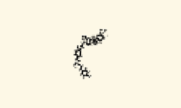 Cc1ccc(C=CC(=O)C=Cc2ccc(OCCN3CCN(S(=O)(=O)c4cccc(C(F)(F)F)c4)CC3=O)cc2)cc1